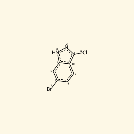 Clc1n[nH]c2cc(Br)ccc12